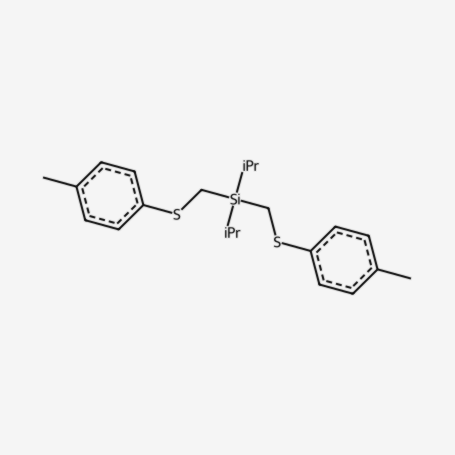 Cc1ccc(SC[Si](CSc2ccc(C)cc2)(C(C)C)C(C)C)cc1